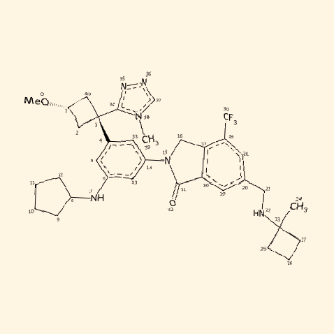 CO[C@H]1C[C@@](c2cc(NC3CCCC3)cc(N3Cc4c(cc(CNC5(C)CCC5)cc4C(F)(F)F)C3=O)c2)(c2nncn2C)C1